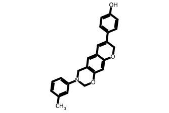 Cc1cccc(N2COc3cc4c(cc3C2)C=C(c2ccc(O)cc2)CO4)c1